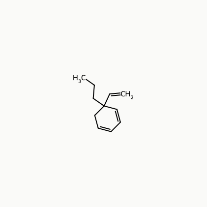 C=CC1(CCC)C=CC=CC1